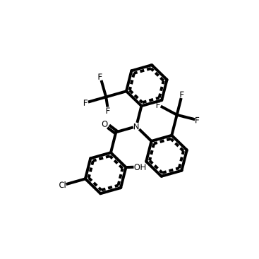 O=C(c1cc(Cl)ccc1O)N(c1ccccc1C(F)(F)F)c1ccccc1C(F)(F)F